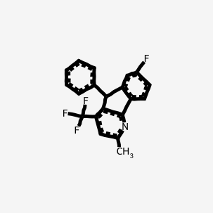 Cc1cc(C(F)(F)F)c2c(n1)-c1ccc(F)cc1C2c1ccccc1